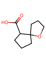 O=C(O)C1CCCC12CCCO2